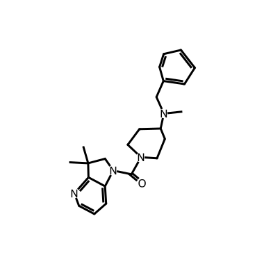 CN(Cc1ccccc1)C1CCN(C(=O)N2CC(C)(C)c3ncccc32)CC1